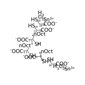 CCCCCCCCC(S)C(=O)[O-].CCCCCCCCC(S)C(=O)[O-].CCCCCCCCC(S)C(=O)[O-].O=C([O-])CS.O=C([O-])CS.O=C([O-])CS.[CH3][Sn+3].[CH3][Sn+3]